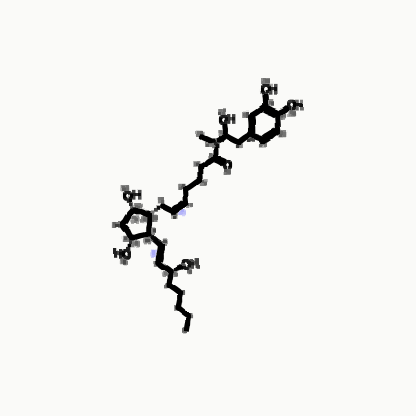 CCCCC[C@H](O)/C=C/[C@@H]1[C@@H](C/C=C\CCCC(=O)N(C)C(O)Cc2ccc(O)c(O)c2)[C@@H](O)C[C@H]1O